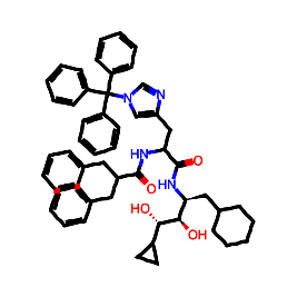 O=C(NC(Cc1cn(C(c2ccccc2)(c2ccccc2)c2ccccc2)cn1)C(=O)N[C@@H](CC1CCCCC1)[C@@H](O)[C@@H](O)C1CC1)C(Cc1ccccc1)Cc1ccccc1